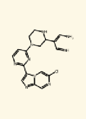 N=C/C(=C\N)C1CN(c2ccnc(-c3cnc4cnc(Cl)cn34)n2)CCN1